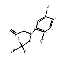 C=CCN(CC(F)(F)F)c1cc(F)ccc1Cl